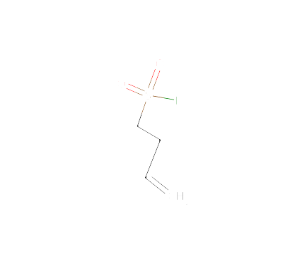 C=CCCS(=O)(=O)F